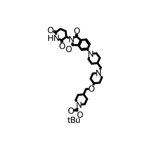 CC(C)(C)OC(=O)N1CCC(COC2CCN(CC3CCN(c4ccc5c(c4)C(=O)N(C4CCC(=O)NC4=O)C5=O)CC3)CC2)CC1